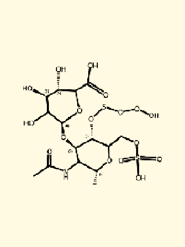 CC(=O)NC1[C@@H](O[C@@H]2OC(C(=O)O)[C@@H](O)[C@H](O)C2O)[C@H](OSOOO)C(COS(=O)(=O)O)O[C@@H]1C